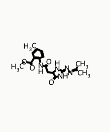 COC(=O)c1cc(C)ccc1NC(=O)CC1N/C(=N/N=C(C)C)NC1=O